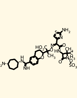 CC(ON=C(C(=O)NC1C(=O)N(OS(=O)(=O)O)C1(C)C)c1csc(N)n1)(C(=O)O)C1CCc2cc(C(=N)N[C@@H]3CCC[C@H](N)CC3)ccc2O1